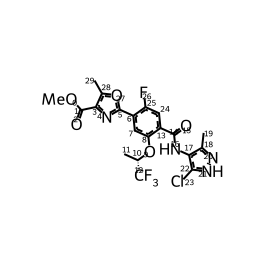 COC(=O)c1nc(-c2cc(O[C@@H](C)C(F)(F)F)c(C(=O)Nc3c(C)n[nH]c3Cl)cc2F)oc1C